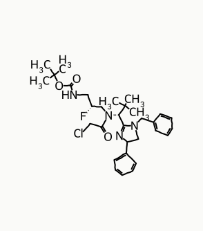 CC(C)(C)OC(=O)NC[C@@H](F)CN(C(=O)CCl)[C@@H](C1=NC(c2ccccc2)CN1Cc1ccccc1)C(C)(C)C